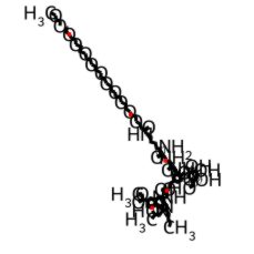 CCCCc1nc2c(NC(=O)OCc3ccc(O[C@H]4O[C@H](CO)[C@@H](O)[C@H](O)[C@@H]4O)c(NC(=O)CCNC(=O)[C@@H](N)CCCCNC(=O)CCOCCOCCOCCOCCOCCOCCOCCOCCOCCOCCOCCOC)c3)nc3cc(C(=O)OC)ccc3c2n1CC(C)O